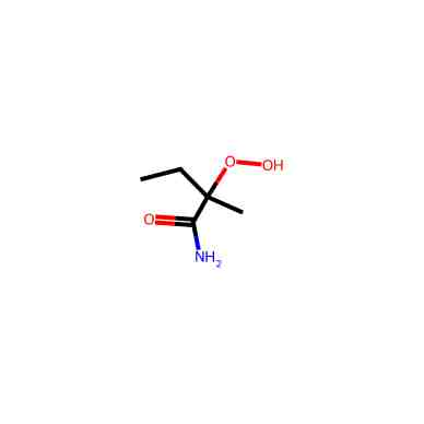 CCC(C)(OO)C(N)=O